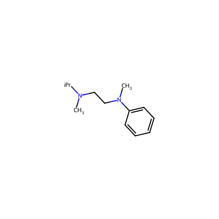 CC(C)N(C)CCN(C)c1ccccc1